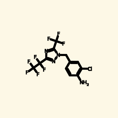 Nc1ccc(Cn2nc(C(F)(F)C(F)(F)F)nc2C(F)(F)F)cc1Cl